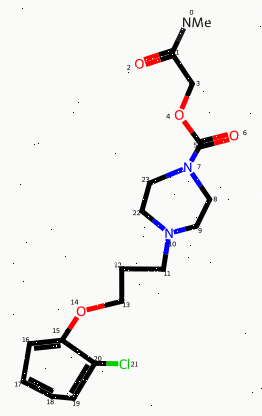 CNC(=O)COC(=O)N1CCN(CCCOc2ccccc2Cl)CC1